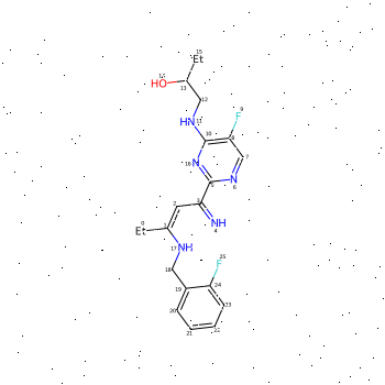 CC/C(=C/C(=N)c1ncc(F)c(NCC(O)CC)n1)NCc1ccccc1F